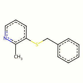 Cc1ncccc1SCc1ccccc1